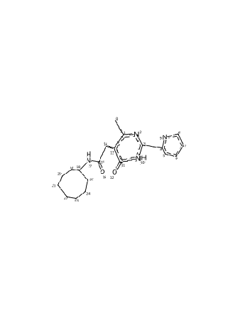 Cc1nc(-c2ccccn2)[nH]c(=O)c1CC(=O)NC1CCCCCCC1